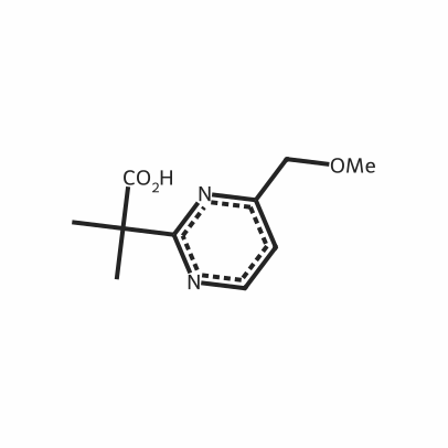 COCc1ccnc(C(C)(C)C(=O)O)n1